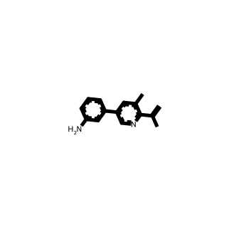 C=C(C)c1ncc(-c2cccc(N)c2)cc1C